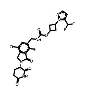 O=C1CC[C@H](N2Cc3c(Cl)cc(CNC(=O)OC4CC(n5nccc5C(F)F)C4)c(F)c3C2=O)C(=O)N1